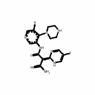 N=C(N)/C(C(=O)Nc1cncc(F)c1N1CCNCC1)=C1/N=CC(F)=CN1